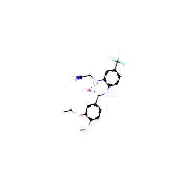 CCOc1cc(CNc2ccc(C(F)(F)F)cc2N(CC#N)N=O)ccc1OC